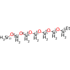 CC[SiH2]O[SiH2]O[SiH2]O[SiH2]O[SiH2]O[SiH2]O[SiH3]